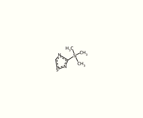 C[Si](C)(C)c1ncsn1